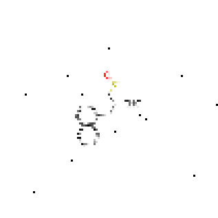 O=CC(C[S+]=O)Cc1cccc2ccccc12